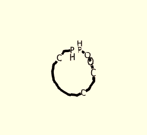 C1CCCCCCPPOOCCCCC1